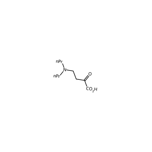 CCCN(CCC)CCC(=O)C(=O)O